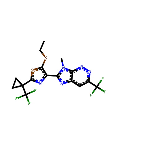 CCSc1sc(C2(C(F)(F)F)CC2)nc1-c1nc2cc(C(F)(F)F)nnc2n1C